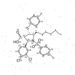 CCCCCC[C@@H]1[C@@H](Sc2ccc(C)cc2)[C@@H](C(=O)O)[C@H](c2ccc(Cl)c(Cl)c2)N1S(=O)(=O)c1ccc(C)cc1